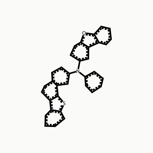 c1ccc(N(c2ccc3oc4ccccc4c3c2)c2ccc3ccc4c5ccccc5sc4c3c2)cc1